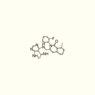 CC(=N)c1c(N)ncnc1NCc1cc2cccc(C)c2c(=O)n1-c1ccccc1F